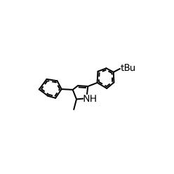 CC1NC(c2ccc(C(C)(C)C)cc2)=CC1c1ccccc1